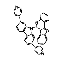 c1ccc2c(c1)nc(-n1c3cc(-c4ccncc4)ccc3c3ccc(-c4ccncc4)cc31)n1c3ccccc3nc21